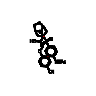 CC(=O)Nc1ccc(S(=O)(=O)N2CC3CCC(C2)N3CC(O)COc2ccc(C#N)cc2)cc1